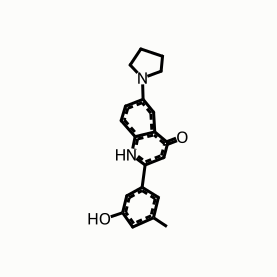 Cc1cc(O)cc(-c2cc(=O)c3cc(N4CCCC4)ccc3[nH]2)c1